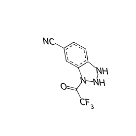 N#Cc1ccc2c(c1)N(C(=O)C(F)(F)F)NN2